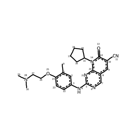 Cc1cc(Nc2ncc3cc(C#N)c(=O)n(C4CCCC4)c3n2)ccc1OCCN(C)C